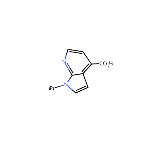 CC(C)n1ccc2c(C(=O)O)ccnc21